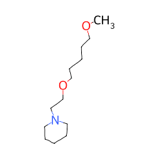 COCCCCCOCCN1CCCCC1